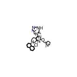 C/C1=C\N=C/NC[C@@H](C)N(c2nc(OC[C@H]3CCCN3C)nc3c2CCN(c2cccc4cccc(Cl)c24)C3)C1